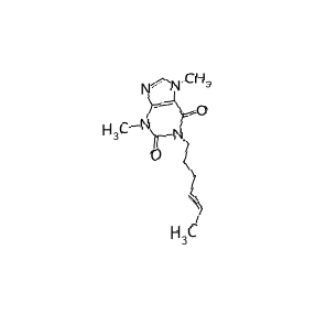 CC=CCCCn1c(=O)c2c(ncn2C)n(C)c1=O